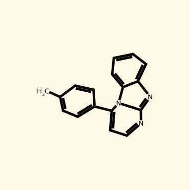 Cc1ccc(-c2ccnc3nc4ccccc4n23)cc1